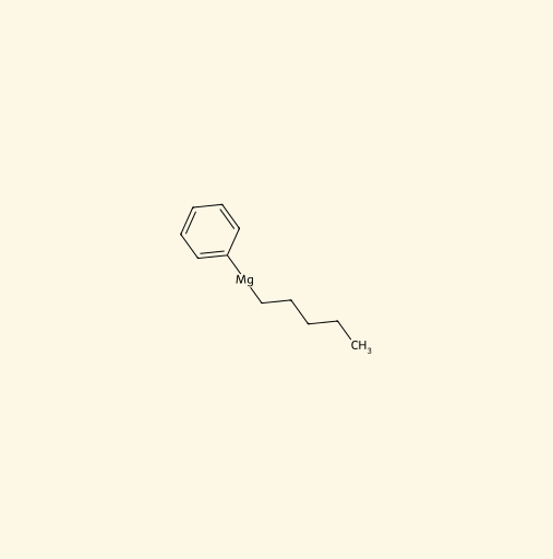 CCCC[CH2][Mg][c]1ccccc1